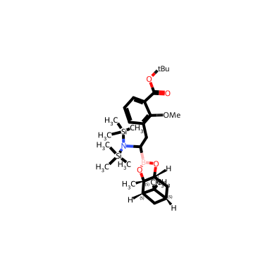 COc1c(CC(B2O[C@@H]3C[C@@H]4C[C@@H](C4(C)C)[C@]3(C)O2)N([Si](C)(C)C)[Si](C)(C)C)cccc1C(=O)OC(C)(C)C